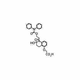 CC1(O)CCc2c(OCC(=O)O)cccc2C1CCOC(=O)N(c1ccccc1)c1ccccc1